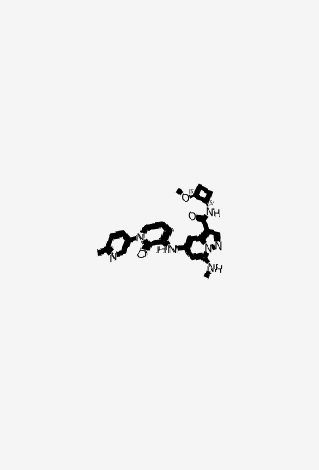 CNc1cc(Nc2cccn(-c3ccc(C)nc3)c2=O)cc2c(C(=O)N[C@H]3CC[C@@H]3OC)cnn12